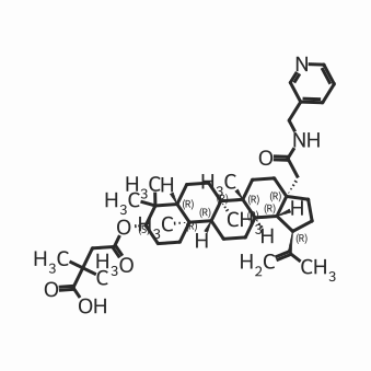 C=C(C)[C@@H]1CC[C@]2(CC(=O)NCc3cccnc3)CC[C@]3(C)[C@H](CC[C@@H]4[C@@]5(C)CC[C@H](OC(=O)CC(C)(C)C(=O)O)C(C)(C)[C@@H]5CC[C@]43C)[C@@H]12